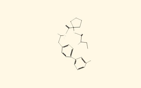 CC(C)CC(S)C(=O)NC1(C(=O)NC(Cc2ccc(-c3cccc(F)c3)cc2)C(=O)O)CCCC1